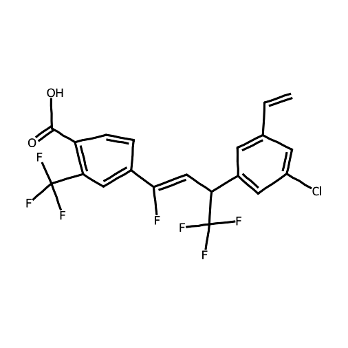 C=Cc1cc(Cl)cc(C(C=C(F)c2ccc(C(=O)O)c(C(F)(F)F)c2)C(F)(F)F)c1